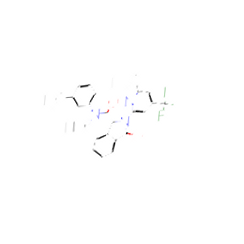 Cc1cccc(N(C)C(=O)[C@H]2c3ccccc3C(=O)N2c2cc(C(F)(F)F)cc(C)n2)c1